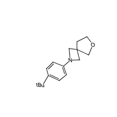 CC(C)(C)c1ccc(N2CC3(CCOC3)C2)cc1